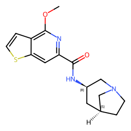 COc1nc(C(=O)N[C@@H]2C[C@@H]3CCN(C3)C2)cc2sccc12